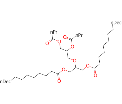 CCCCCCCCCCCCCCCCCC(=O)OCC(COC(=O)CCCCCCCCCCCCCCCCC)OCC(COC(=O)CCC)OC(=O)CCC